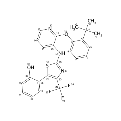 CC(C)(C)c1ccccc1Oc1ncccc1Nc1nc(C(F)(F)F)c(-c2ccccc2O)s1